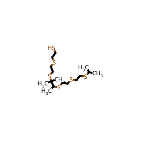 CC(C)SCCSCCSC(C)C(C)(C)SCCSCCS